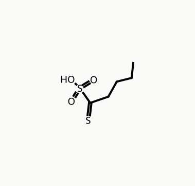 CCCCC(=S)S(=O)(=O)O